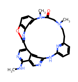 CNc1ncc2c3cc(ncc13)Nc1cccc(n1)CCN(C)CC(=O)N(C)c1ccc3oc-2nc3c1